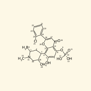 BC1CC(c2c(O)cc(OP(=O)(O)O)c3c(=O)cc(-c4ccccc4Cl)oc23)C(O)CN1C